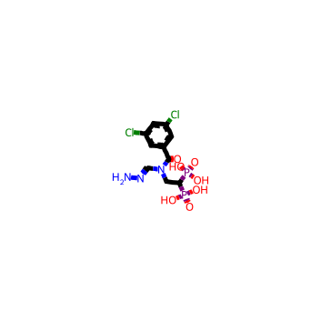 NN=CN(CC(P(=O)(O)O)P(=O)(O)O)C(=O)c1cc(Cl)cc(Cl)c1